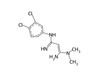 CN(C)/C(N)=C/C(=N)Nc1ccc(Cl)c(Cl)c1